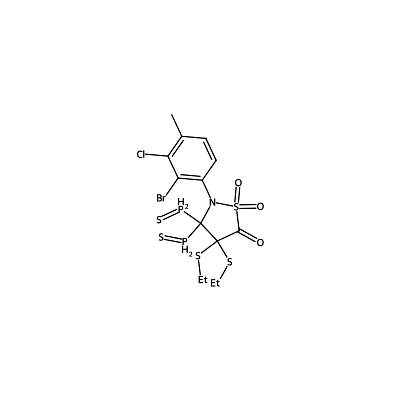 CCSC1(SCC)C(=O)S(=O)(=O)N(c2ccc(C)c(Cl)c2Br)C1([PH2]=S)[PH2]=S